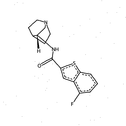 O=C(N[C@H]1CN2CCC1CC2)c1cc2c(F)cccc2s1